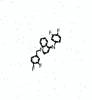 Fc1ccc(Cn2cc/c(=N/c3ccc(F)c(F)c3)c3ccccc32)cc1F